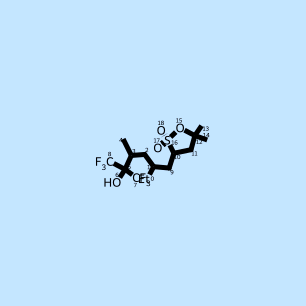 CCC(CC(C)C(O)(C(F)(F)F)C(F)(F)F)CC1CC(C)(C)OS1(=O)=O